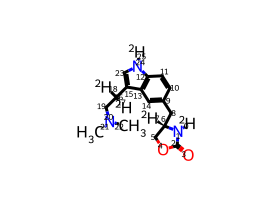 [2H]N1C(=O)OC[C@]1([2H])Cc1ccc2c(c1)c(C([2H])([2H])CN(C)C)cn2[2H]